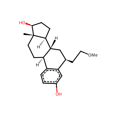 COCC[C@@H]1C[C@@H]2[C@H](CC[C@]3(C)[C@@H](O)CC[C@@H]23)c2ccc(O)cc21